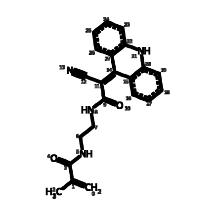 C=C(C)C(=O)NCCNC(=O)C(C#N)=C1c2ccccc2Nc2ccccc21